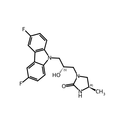 C[C@@H]1CN(C[C@H](O)Cn2c3ccc(F)cc3c3cc(F)ccc32)C(=O)N1